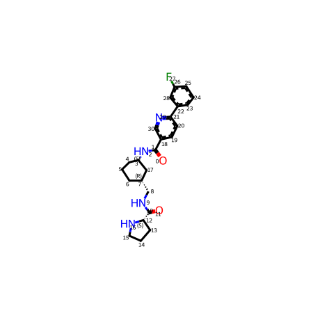 O=C(N[C@H]1CCC[C@@H](CNC(=O)[C@@H]2CCCN2)C1)c1ccc(-c2cccc(F)c2)nc1